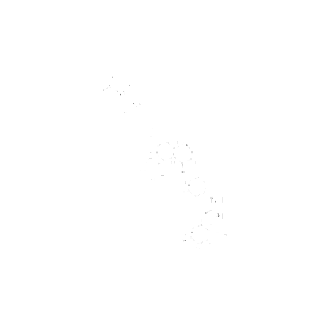 CC(=O)N1CCN(CCCOc2cc3nccc(Oc4ccc(NC(=O)N[C@H](C)c5ccc(F)cc5)cc4)c3c3c2OCCO3)CC1